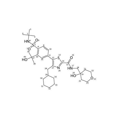 CC(C)(C)NS(=O)(=O)c1ccc(-c2sc(C(=O)NCC3(O)CCOCC3)nc2CC2CCCCC2)cc1C(C)(C)O